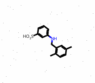 Cc1ccc(C)c(CNc2cccc(S(=O)(=O)O)c2)c1